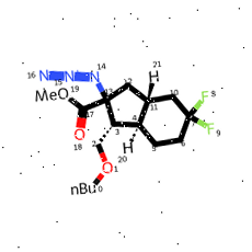 CCCCOC[C@H]1[C@@H]2CCC(F)(F)C[C@H]2CC1(N=[N+]=[N-])C(=O)OC